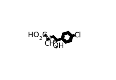 CN(C[C@H](O)c1ccc(Cl)cc1)C(=O)O